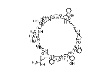 CC(C)C1NC(=O)[C@H](CC(=O)O)NC(=O)[C@H](C)N(C)C(=O)[C@@H]2CCCN2C(=O)[C@@H](Cc2c[nH]c3ccccc23)NC(=O)CSCCNC(=O)[C@@H]2CCCN2C(=O)[C@H](Cc2ccccc2)N(C)C(=O)[C@H](Cc2ccc(O)cc2)NC(=O)CN(C)C(=O)[C@H](Cc2ccccc2)N(C)C(=O)[C@H](CCCNC(=N)N)NC(=O)CNC(=O)[C@H](CO)N(C)C1=O